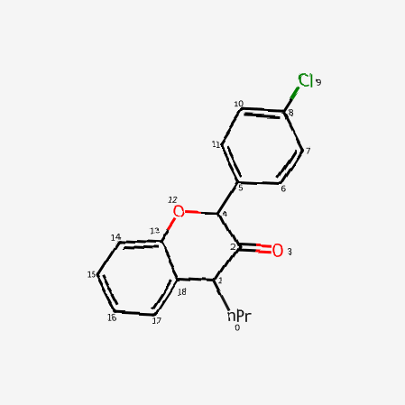 CCCC1C(=O)C(c2ccc(Cl)cc2)Oc2ccccc21